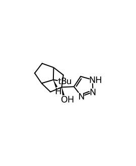 CC(C)(C)[C@H]1C2CCC1C[C@@](O)(c1c[nH]nn1)C2